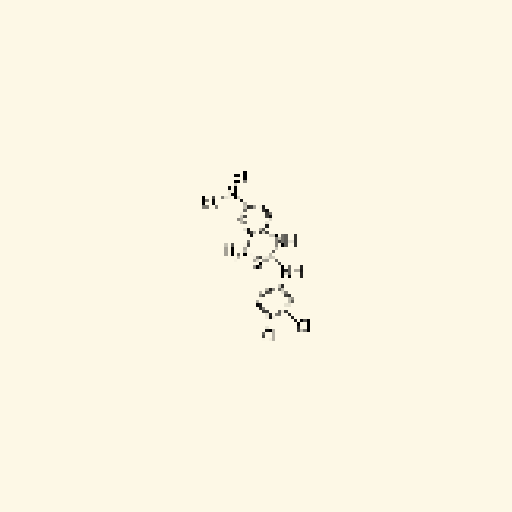 CCN(CC)c1ccc(NC(=S)Nc2ccc(Cl)c(Cl)c2)c(C)c1